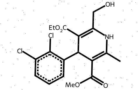 CCOC(=O)C1=C(CO)NC(C)=C(C(=O)OC)C1c1cccc(Cl)c1Cl